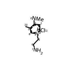 CNc1cc[n+](CCN)cc1C.Cl